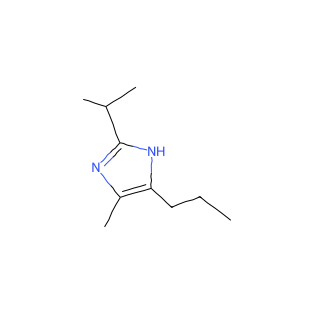 CCCc1[nH]c(C(C)C)nc1C